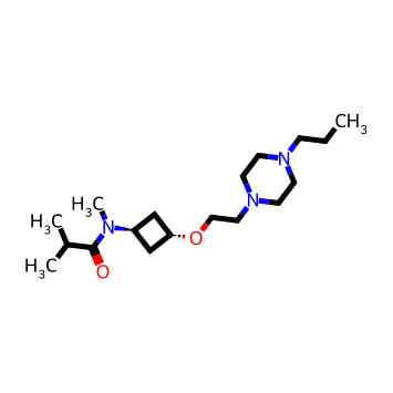 CCCN1CCN(CCO[C@H]2C[C@H](N(C)C(=O)C(C)C)C2)CC1